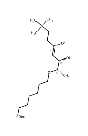 CCCCCCCCCCCCCCCCO[C@@H](C)[C@H](O)/C=[P+](\[O-])CC[N+](C)(C)C